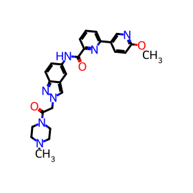 COc1ccc(-c2cccc(C(=O)Nc3ccc4nn(CC(=O)N5CCN(C)CC5)cc4c3)n2)cn1